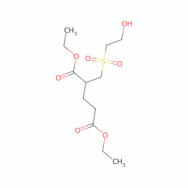 CCOC(=O)CCC(CS(=O)(=O)CCO)C(=O)OCC